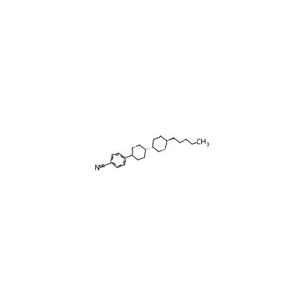 CCCCC[C@H]1CC[C@H](C2CCC(c3ccc(C#N)cc3)CC2)CC1